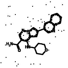 NC(=O)c1cnn2cc(-c3cnc4ccccc4c3)cc2c1NC1CCOCC1